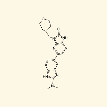 CN(C)c1nc2cc(-c3cnc4[nH]c(=O)n(CC5CCOCC5)c4n3)ccc2[nH]1